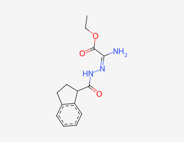 CCOC(=O)/C(N)=N\NC(=O)C1CCc2ccccc21